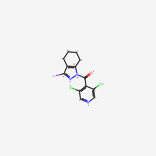 O=C(c1c(Cl)cncc1Cl)n1nc(I)c2c1CCCC2